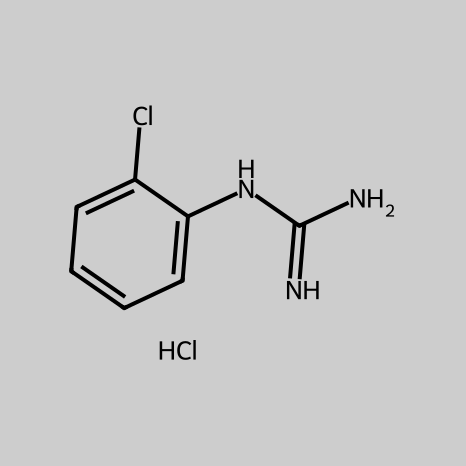 Cl.N=C(N)Nc1ccccc1Cl